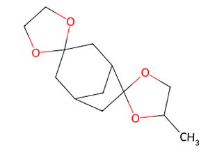 CC1COC2(CC3CC2CC2(C3)OCCO2)O1